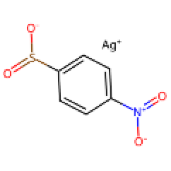 O=[N+]([O-])c1ccc(S(=O)[O-])cc1.[Ag+]